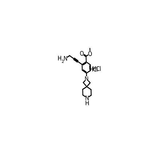 COC(=O)c1ccc(N2CC3(CCNCC3)C2)cc1C#CCN.Cl.Cl